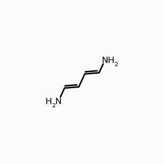 N/C=C/C=C/N